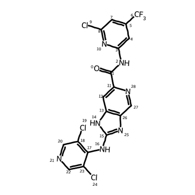 O=C(Nc1cc(C(F)(F)F)cc(Cl)n1)c1cc2[nH]c(Nc3c(Cl)cncc3Cl)nc2cn1